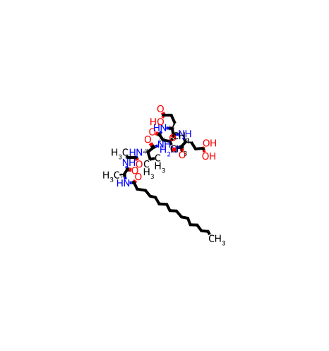 CCCCCCCCCCCCCCCC(=O)N[C@@H](C)C(=O)N[C@@H](C)C(=O)N[C@H](C(=O)N[C@H](C(=O)N[C@@H](CCC(=O)O)C(=O)N[C@@H](CCC(O)O)C(N)=O)C(C)C)C(C)C